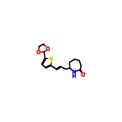 O=C1CCCCC(CC=Cc2ccc(C3OCCO3)s2)N1